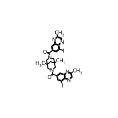 Cc1cnc2c(I)cc(C(=O)N3CC4(C)CN(C(=O)c5cc(I)c6ncc(C)nc6c5)CC(C)(C3)C4)cc2n1